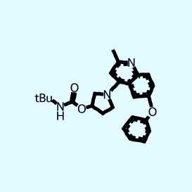 Cc1cc(N2CCC(OC(=O)NC(C)(C)C)C2)c2cc(Oc3ccccc3)ccc2n1